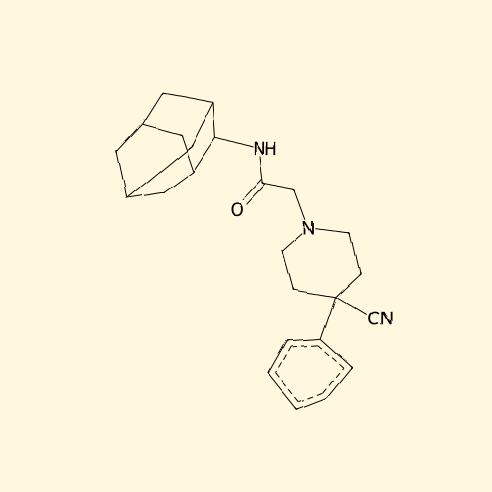 N#CC1(c2ccccc2)CCN(CC(=O)NC2C3CC4CC(C3)CC2C4)CC1